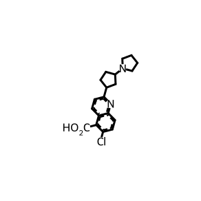 O=C(O)c1c(Cl)ccc2nc(C3CCC(N4CCCC4)C3)ccc12